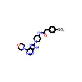 O=C(Cc1ccc([N+](=O)[O-])cc1)NC1CCN(c2nc3c(N4CCOCC4)ncnc3[nH]2)CC1